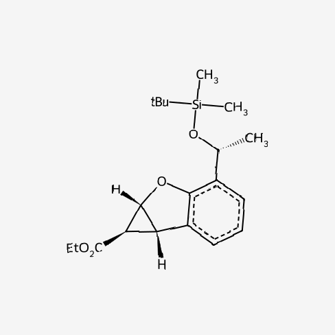 CCOC(=O)[C@H]1[C@@H]2Oc3c(cccc3[C@@H](C)O[Si](C)(C)C(C)(C)C)[C@@H]21